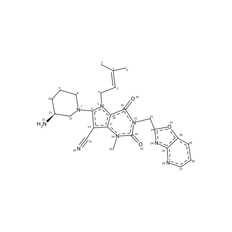 CC(C)=CCn1c(N2CCC[C@H](N)C2)c(C#N)c2c1c(=O)n(Cc1nc3ncccc3o1)c(=O)n2C